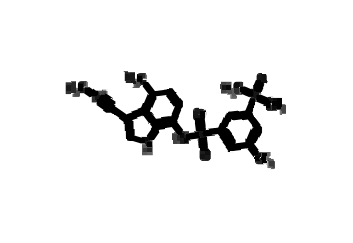 C[N+]#Cc1c[nH]c2c(NS(=O)(=O)c3cc(C(F)(F)F)cc(P(C)(C)=O)c3)ccc(C)c12